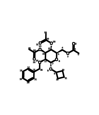 CC(=O)OC[C@H]1O[C@H](OC2CCC2)[C@@H](OCc2ccccc2)[C@@H](OC(C)=O)[C@@H]1OC(C)=O